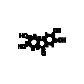 O=C1c2cc(O)c(O)cc2-c2cc(O)c(O)cc21